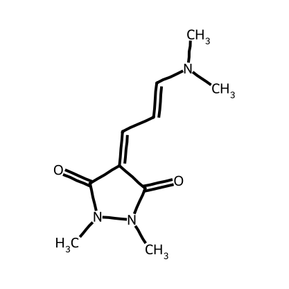 CN(C)C=CC=C1C(=O)N(C)N(C)C1=O